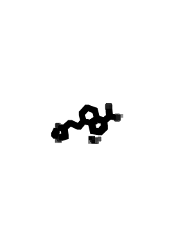 O=C([O-])c1cccc2c1CCCC2CCc1cncs1.[Na+]